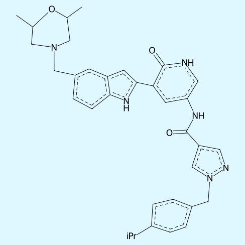 CC1CN(Cc2ccc3[nH]c(-c4cc(NC(=O)c5cnn(Cc6ccc(C(C)C)cc6)c5)c[nH]c4=O)cc3c2)CC(C)O1